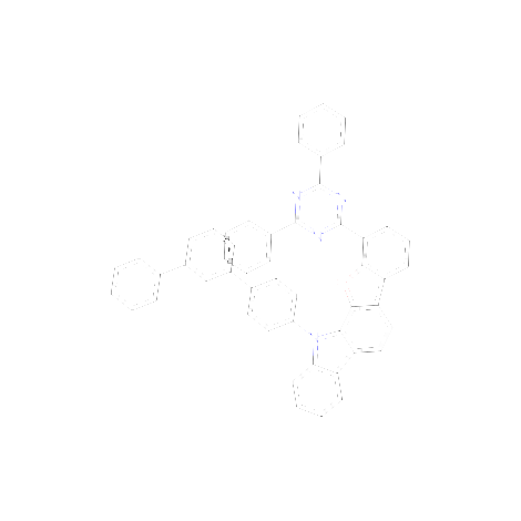 c1ccc(-c2cccc(-c3ccc(-n4c5ccccc5c5ccc6c7cccc(-c8nc(-c9ccccc9)nc(-c9ccccc9)n8)c7oc6c54)cc3)c2)cc1